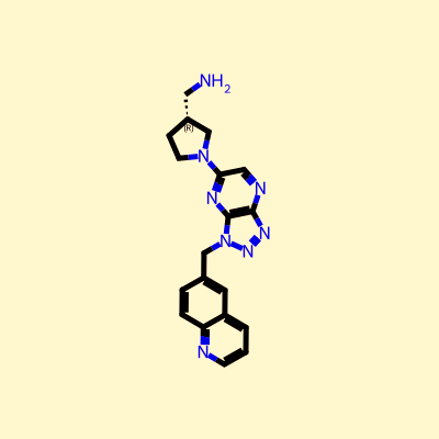 NC[C@H]1CCN(c2cnc3nnn(Cc4ccc5ncccc5c4)c3n2)C1